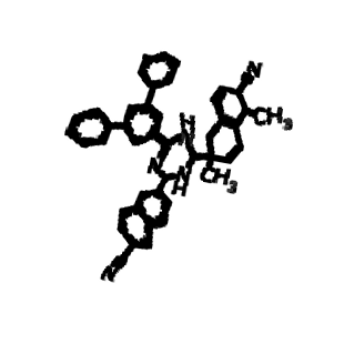 CC1C2=C(C=CC1C#N)CC(C)(C1NC(c3cc(-c4ccccc4)cc(-c4ccccc4)c3)=NC(c3ccc4cc(C#N)ccc4c3)N1)C=C2